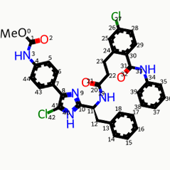 COC(=O)Nc1ccc(-c2nc([C@H](Cc3ccccc3)NC(=O)CCc3cc(Cl)ccc3C(=O)Nc3ccccc3)[nH]c2Cl)cc1